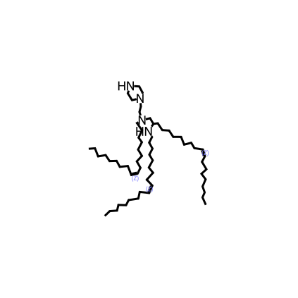 CCCCCCCC/C=C\CCCCCCCCNC(CCCCCCCC/C=C\CCCCCCCC)CN(CCCCCCCC/C=C\CCCCCCCC)CCN1CCNCC1